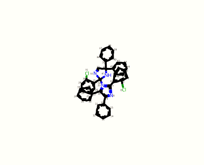 Clc1ccccc1-c1nc(-c2ccccc2)c(-c2ccccc2)n1C1(c2ccccc2Cl)N=CC(c2ccccc2)(c2ccccc2)N1